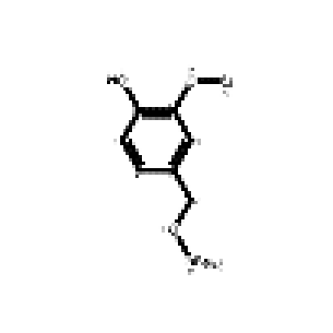 CCCCCOCc1ccc(O)c(OCC)c1